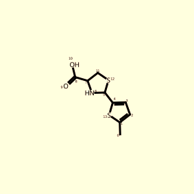 Cc1ccc(C2NC(C(=O)O)CS2)s1